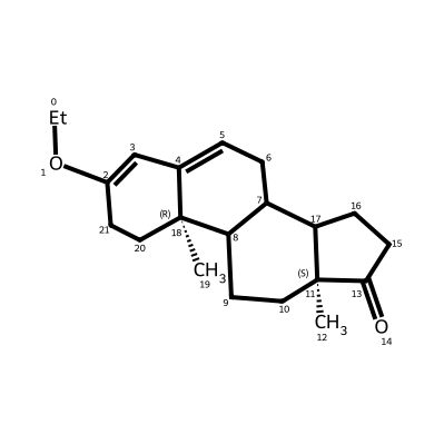 CCOC1=CC2=CCC3C(CC[C@]4(C)C(=O)CCC34)[C@@]2(C)CC1